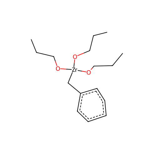 CCC[O][Zr]([CH2]c1ccccc1)([O]CCC)[O]CCC